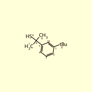 CC(C)(C)c1cccc(C(C)(C)S)c1